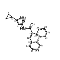 O=C(Nc1cc(C2CC2)[nH]n1)/C(=C/c1ccncc1)c1ccccc1